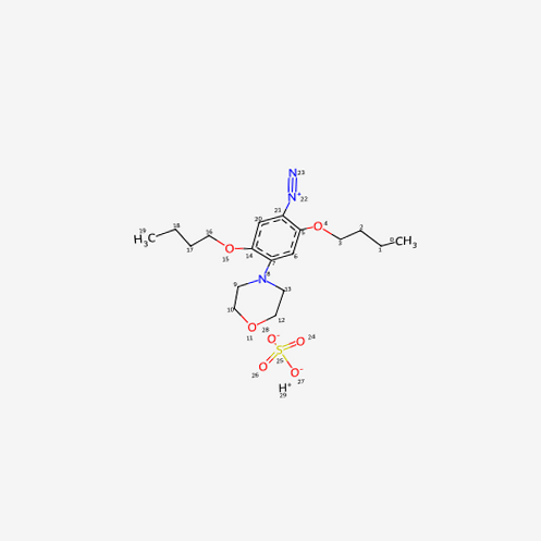 CCCCOc1cc(N2CCOCC2)c(OCCCC)cc1[N+]#N.O=S(=O)([O-])[O-].[H+]